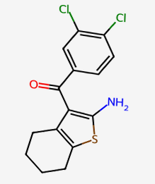 Nc1sc2c(c1C(=O)c1ccc(Cl)c(Cl)c1)CCCC2